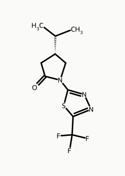 CC(C)[C@H]1CC(=O)N(c2nnc(C(F)(F)F)s2)C1